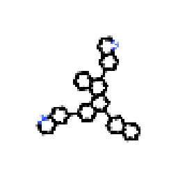 c1ccc2cc(-c3cc4cc(-c5ccc6ncccc6c5)c5ccccc5c4c4cc(-c5ccc6ncccc6c5)ccc34)ccc2c1